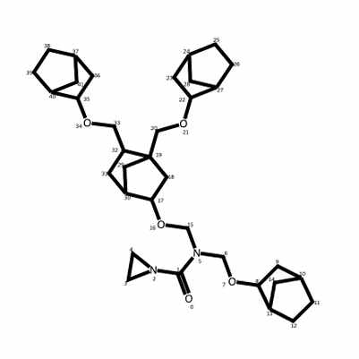 O=C(N1CC1)N(COC1CC2CCC1C2)COC1CC2(COC3CC4CCC3C4)CC1CC2COC1CC2CCC1C2